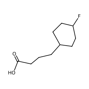 O=C(O)CCCC1CCC(F)CC1